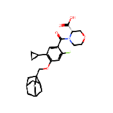 O=C(O)[C@@H]1COCCN1C(=O)c1cc(C2CC2)c(OCC23CC4CC(CC2C4)C3)cc1F